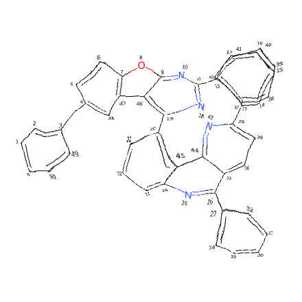 c1ccc(-c2ccc3oc4nc(-c5ccccc5)nc(-c5cccc6nc(-c7ccccc7)c7ccc(-c8ccccc8)nc7c56)c4c3c2)cc1